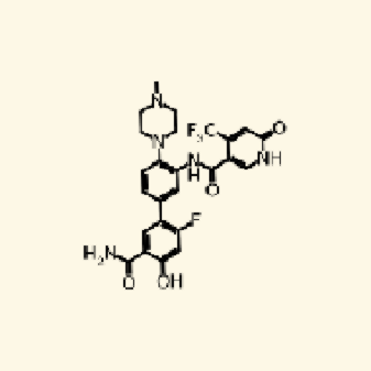 CN1CCN(c2ccc(-c3cc(C(N)=O)c(O)cc3F)cc2NC(=O)c2c[nH]c(=O)cc2C(F)(F)F)CC1